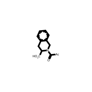 CC(=O)C(=O)N1Cc2ccccc2CC1C(=O)O